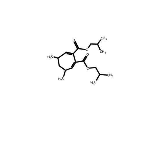 CC(C)COC(=O)C1=CC(C)CC(C)C=C1C(=O)OCC(C)C